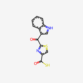 O=C(S)c1csc(C(=O)c2c[nH]c3ccccc23)n1